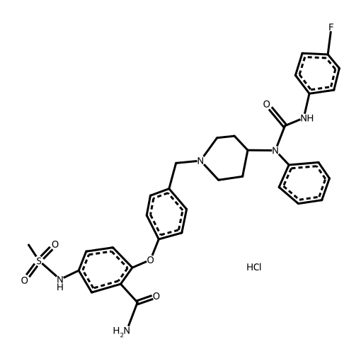 CS(=O)(=O)Nc1ccc(Oc2ccc(CN3CCC(N(C(=O)Nc4ccc(F)cc4)c4ccccc4)CC3)cc2)c(C(N)=O)c1.Cl